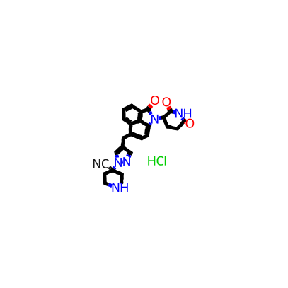 Cl.N#CC1(n2cc(Cc3ccc4c5c(cccc35)C(=O)N4C3CCC(=O)NC3=O)cn2)CCNCC1